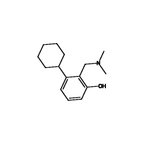 CN(C)Cc1c(O)cccc1C1CCCCC1